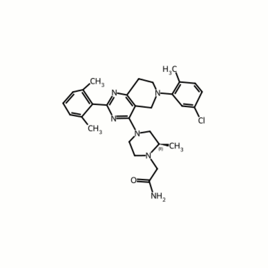 Cc1ccc(Cl)cc1N1CCc2nc(-c3c(C)cccc3C)nc(N3CCN(CC(N)=O)[C@H](C)C3)c2C1